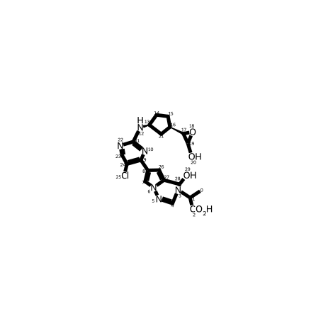 CC(C(=O)O)N1C=Nn2cc(-c3nc(N[C@H]4CC[C@@H](C5OC5O)C4)ncc3Cl)cc2C1O